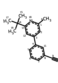 Cc1cc(-c2cccc(C#N)c2)cc(C(C)(C)C)n1